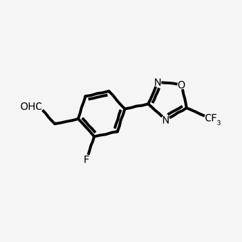 O=CCc1ccc(-c2noc(C(F)(F)F)n2)cc1F